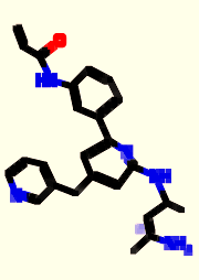 C=CC(=O)Nc1cccc(-c2cc(Cc3cccnc3)cc(NC(C)/C=C(/C)N)n2)c1